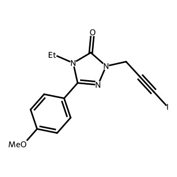 CCn1c(-c2ccc(OC)cc2)nn(CC#CI)c1=O